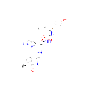 CC(C)c1ccccc1[C@@H]1COCCN1C1CC2(CCN(c3ccc(C(=O)NS(=O)(=O)c4cnc(SC[C@H]5CC[C@](C)(O)CC5)c([N+](=O)[O-])c4)c(Oc4cnc5[nH]ccc5c4)c3)CC2)C1